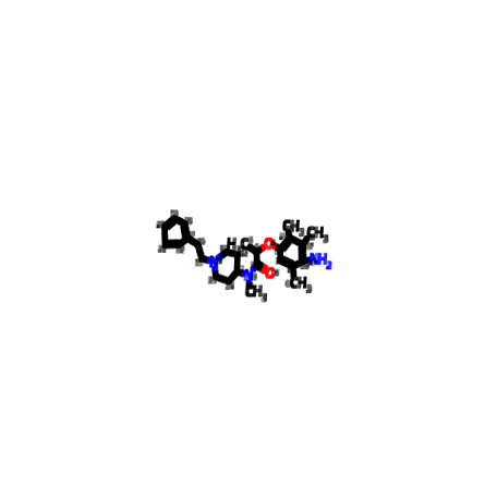 Cc1cc(OC(C)C(=O)N(C)C2CCN(CCc3ccccc3)CC2)c(C)c(C)c1N